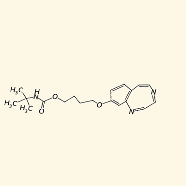 CC(C)(C)NC(=O)OCCCCOc1ccc2c(c1)N=CC=NC=C2